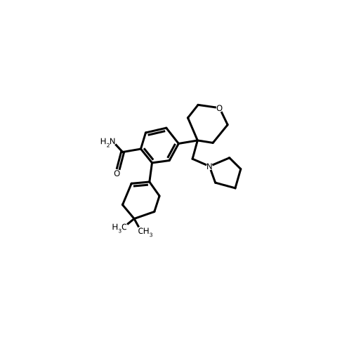 CC1(C)CC=C(c2cc(C3(CN4CCCC4)CCOCC3)ccc2C(N)=O)CC1